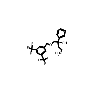 NCC[C@](O)(COCc1cc(C(F)(F)F)cc(C(F)(F)F)c1)c1ccccc1